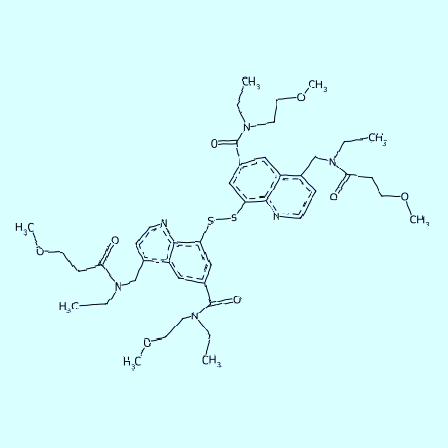 CCN(Cc1ccnc2c(SSc3cc(C(=O)N(CC)CCOC)cc4c(CN(CC)C(=O)CCOC)ccnc34)cc(C(=O)N(CC)CCOC)cc12)C(=O)CCOC